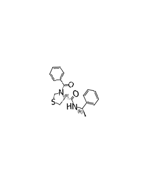 C[C@@H](NC(=O)[C@@H]1CSCN1C(=O)c1ccccc1)c1ccccc1